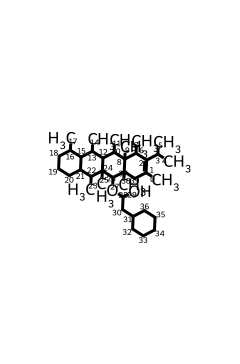 CC1=C(C(C)C)C(C)C2(C)C(C)C3C(C)C4C(C)CCCC4C(C)C3(C)C(OC(O)CC3CCCCC3)C2(C)C1